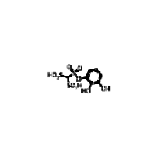 O=S(=O)(O)C(S(=O)(=O)O)S(=O)(=O)Oc1cccc(O)c1O